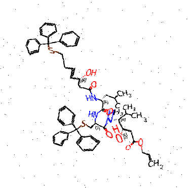 C=CCOC(=O)C[C@H](O)[C@H](NC(=O)[C@@H](CSC(c1ccccc1)(c1ccccc1)c1ccccc1)NC(=O)[C@@H](CC(C)C)NC(=O)C[C@@H](O)C=CCCSC(c1ccccc1)(c1ccccc1)c1ccccc1)C(C)C